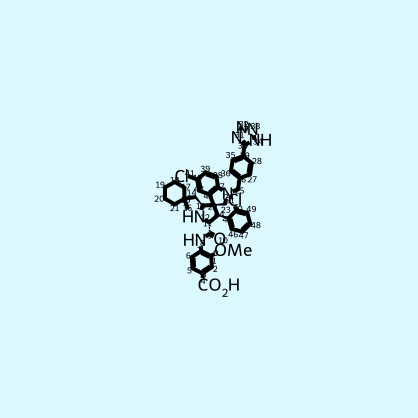 COc1cc(C(=O)O)ccc1NC(=O)[C@@H]1N[C@@H](CC2(C)CCCCC2)[C@@]2(CN(Cc3ccc(-c4nnn[nH]4)cc3)c3ccc(Cl)cc32)[C@H]1c1ccccc1Cl